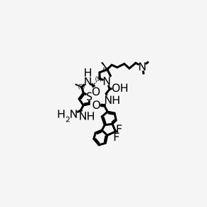 C[C@@H](NC(=O)[C@@H]1C[C@](C)(CCCCCN(C)C)CN1C(O)CNC(=O)c1ccc2c(c1)-c1ccccc1C2(F)F)c1cc(C(=N)N)cs1